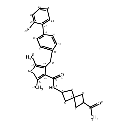 CC(=O)C1CC2(CC(NC(=O)c3c(C)sc(C)c3Cc3ccc(-c4ccccc4F)cc3)C2)C1